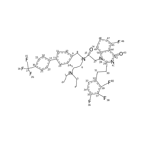 CCN(CC)CCN(Cc1ccc(-c2ccc(C(F)(F)F)cc2)cc1)C(=O)Cn1c(CCc2ccc(F)c(F)c2F)nc(=O)c2c(F)cccc21